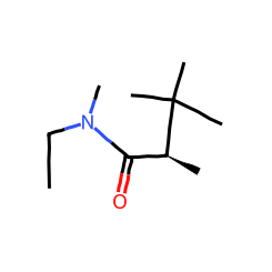 CCN(C)C(=O)[C@H](C)C(C)(C)C